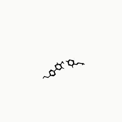 CCCc1ccc(-c2cc(F)c(C(F)(F)Oc3cc(F)c(/C=C/C(F)(F)F)c(F)c3)c(F)c2)cc1